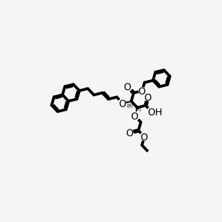 CCOC(=O)CO[C@@H](C(=O)O)[C@@H](OCC=CCCc1ccc2ccccc2c1)C(=O)OCc1ccccc1